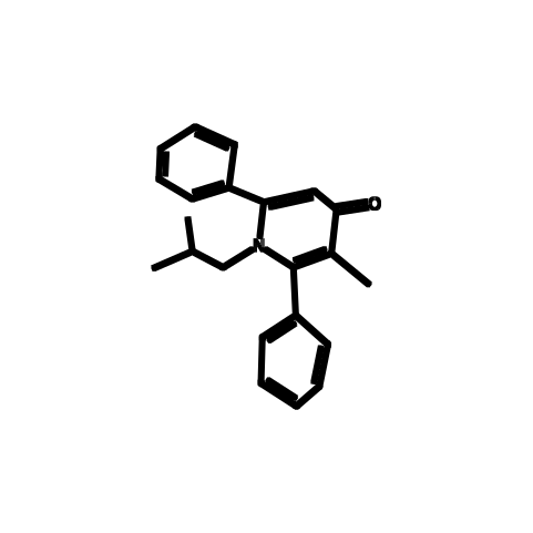 Cc1c(-c2ccccc2)n(CC(C)C)c(-c2ccccc2)cc1=O